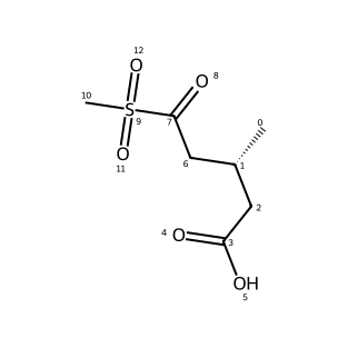 C[C@H](CC(=O)O)CC(=O)S(C)(=O)=O